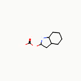 O=C(O)OC1CC2CCCCC2N1